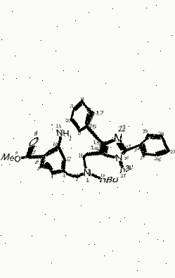 CCCCN(Cc1ccc(C(=O)OC)c(N)c1)Cc1c(-c2ccccc2)nc(-c2ccccc2)n1CCCC